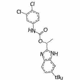 CC(OC(=O)Nc1ccc(Cl)c(Cl)c1)c1nc2ccc(C(C)(C)C)cc2[nH]1